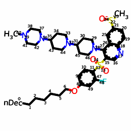 CCCCCCCCCCCCCCCCOc1ccc(S(=O)(=O)c2cnc3ccc([S+](C)[O-])cc3c2N2CCC(N3CCC(N4CCN(C)CC4)CC3)CC2)c(F)c1